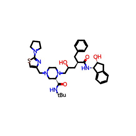 CC(C)(C)NC(=O)[C@@H]1CN(Cc2csc(N3CCCC3)n2)CCN1C[C@@H](O)C[C@@H](Cc1ccccc1)C(=O)N[C@H]1c2ccccc2C[C@H]1O